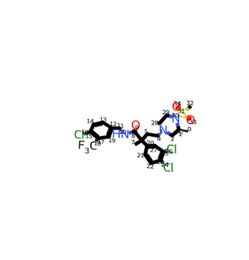 C[C@H]1CN(CCC(C)(C(=O)NCc2ccc(Cl)c(C(F)(F)F)c2)c2ccc(Cl)c(Cl)c2)CCN1S(C)(=O)=O